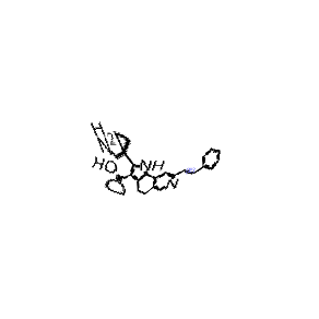 NCC1(c2[nH]c3c(c2C(=O)O)CCc2cnc(/C=C/c4ccccc4)cc2-3)CC1